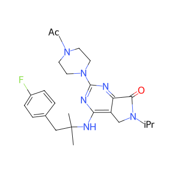 CC(=O)N1CCN(c2nc(NC(C)(C)Cc3ccc(F)cc3)c3c(n2)C(=O)N(C(C)C)C3)CC1